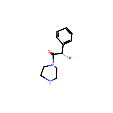 O=C([C@@H](O)c1ccccc1)N1CCNCC1